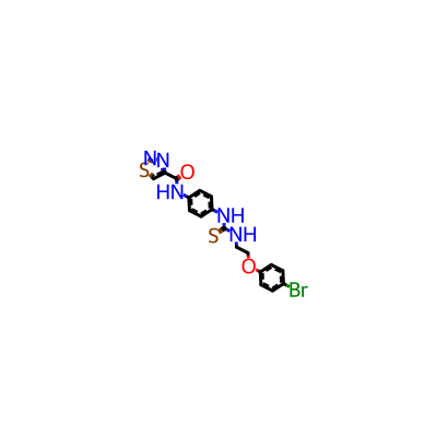 O=C(Nc1ccc(NC(=S)NCCOc2ccc(Br)cc2)cc1)c1csnn1